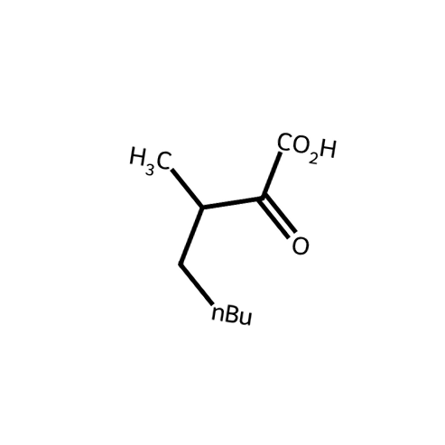 CCCCCC(C)C(=O)C(=O)O